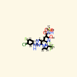 COc1ncc(-c2cnc(Nc3ccc(F)c(Cl)c3)nc2-n2nc(C(F)(F)F)cc2C)cc1C(=O)NS(C)(=O)=O